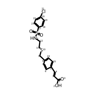 O=C(O)C=Cc1ccc(CSCCNS(=O)(=O)c2ccc(Cl)cc2)cc1